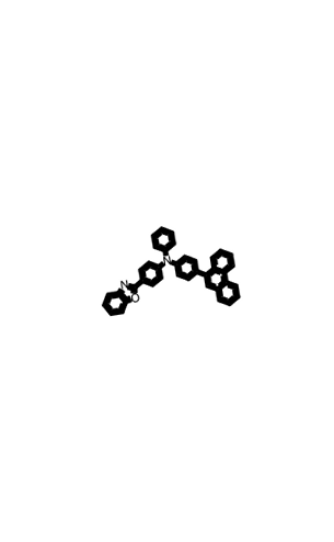 c1ccc(N(c2ccc(-c3nc4ccccc4o3)cc2)c2ccc(-c3cc4ccccc4c4ccccc34)cc2)cc1